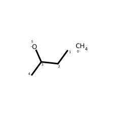 C.CCC(C)[O]